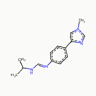 CC(C)NC=Nc1ccc(-c2cn(C)cn2)cc1